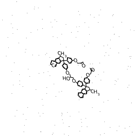 CC1CC(c2ccc(OCC(O)COc3ccc(C4(c5ccc(OCC6CO6)cc5)CC(C)c5cc6ccccc6cc54)cc3)cc2)(c2ccc(OCC3CO3)cc2)c2cc3ccccc3cc21